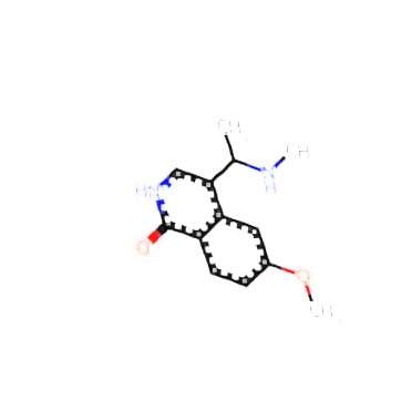 CNC(C)c1c[nH]c(=O)c2ccc(OC)cc12